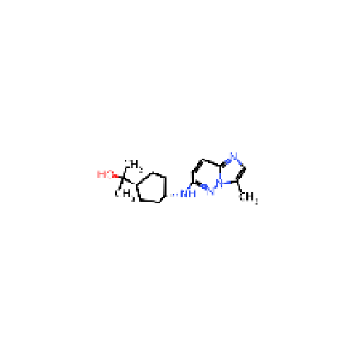 Cc1cnc2ccc(N[C@H]3CC[C@H](C(C)(C)O)CC3)nn12